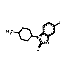 CC1CCC(n2c(=O)oc3cc(F)ccc32)CC1